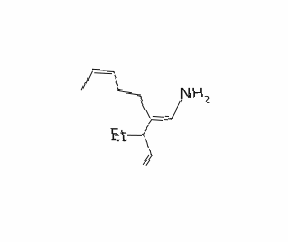 C=CC(CC)/C(=C/N)CC/C=C\C